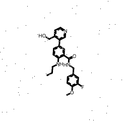 CCCNc1ccc(-c2cnccc2CO)cc1C(=O)NCc1ccc(OC)c(F)c1